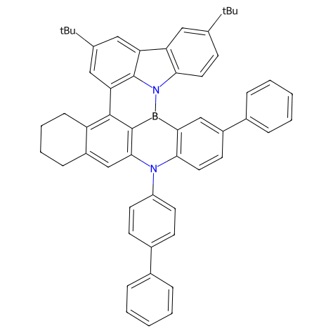 CC(C)(C)c1ccc2c(c1)c1cc(C(C)(C)C)cc3c1n2B1c2cc(-c4ccccc4)ccc2N(c2ccc(-c4ccccc4)cc2)c2cc4c(c-3c21)CCCC4